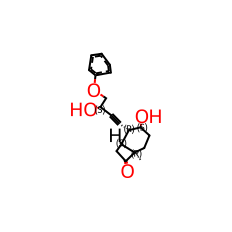 C[C@@]12CC[C@H](O)[C@@H](C#C[C@H](O)COc3ccccc3)[C@@H]1CC2=O